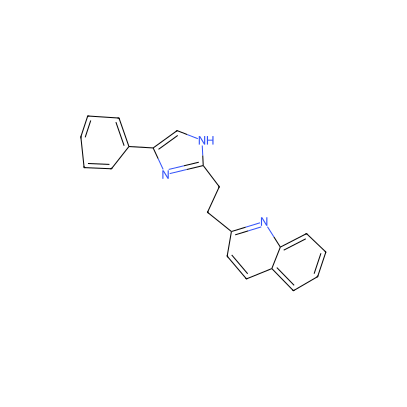 c1ccc(-c2c[nH]c(CCc3ccc4ccccc4n3)n2)cc1